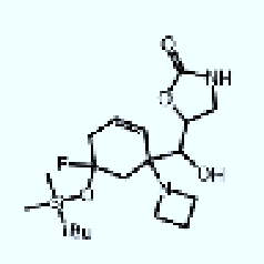 CC(C)(C)[Si](C)(C)OC1(F)CC=CC(C(O)C2CNC(=O)O2)(N2CCC2)C1